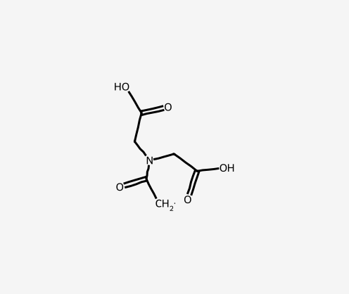 [CH2]C(=O)N(CC(=O)O)CC(=O)O